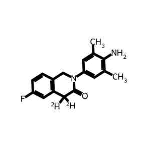 [2H]C1([2H])C(=O)N(c2cc(C)c(N)c(C)c2)Cc2ccc(F)cc21